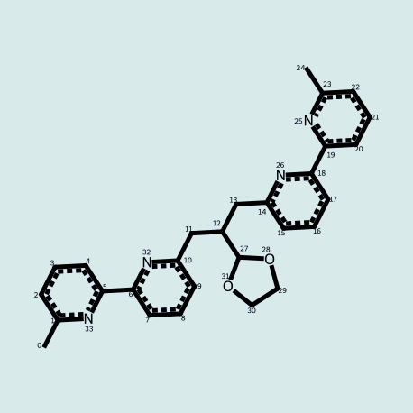 Cc1cccc(-c2cccc(CC(Cc3cccc(-c4cccc(C)n4)n3)C3OCCO3)n2)n1